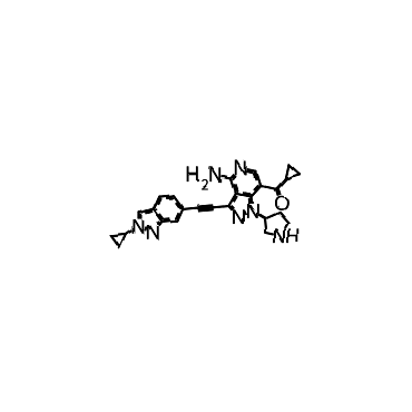 Nc1ncc(C(=O)C2CC2)c2c1c(C#Cc1ccc3cn(C4CC4)nc3c1)nn2C1CCNC1